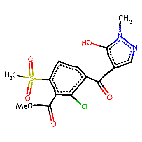 COC(=O)c1c(S(C)(=O)=O)ccc(C(=O)c2cnn(C)c2O)c1Cl